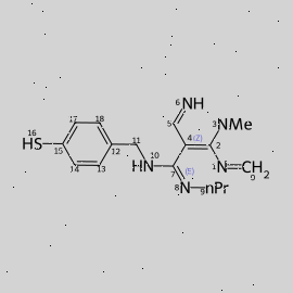 C=N/C(NC)=C(C=N)\C(=N/CCC)NCc1ccc(S)cc1